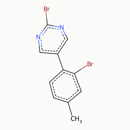 Cc1ccc(-c2cnc(Br)nc2)c(Br)c1